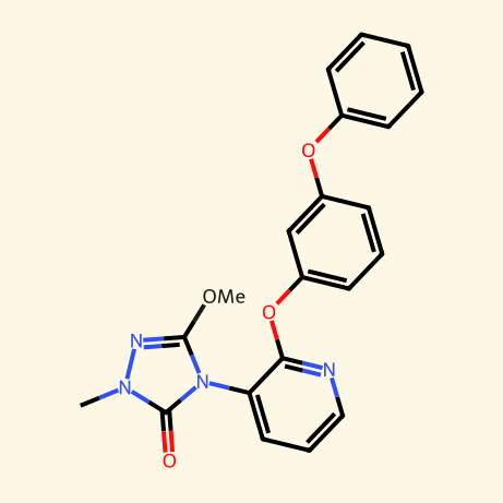 COc1nn(C)c(=O)n1-c1cccnc1Oc1cccc(Oc2ccccc2)c1